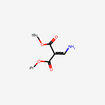 CC(C)OC(=O)C(=CN)C(=O)OC(C)(C)C